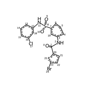 O=C(Nc1cccc(S(=O)(=O)Nc2cccc(Cl)c2)c1)c1ccc(Br)s1